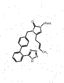 CC=CCc1cn(CCCCC)c(=O)n1Cc1ccc(-c2ccccc2-c2nnn[nH]2)cc1